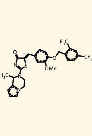 COc1cc(/C=C2\SC(N3CCn4cccc4C3C)=NC2=O)ccc1OCc1ccc(C(F)(F)F)cc1C(F)(F)F